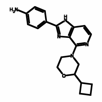 Nc1ccc(-c2nc3c(N4CCOC(C5CCC5)C4)nccc3[nH]2)cc1